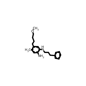 COCCCCc1cc(NCCCc2ccccc2)c(N)cc1C